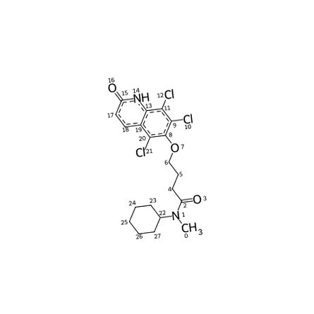 CN(C(=O)CCCOc1c(Cl)c(Cl)c2[nH]c(=O)ccc2c1Cl)C1CCCCC1